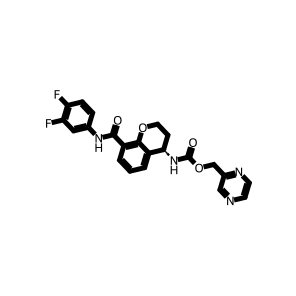 O=C(N[C@H]1CCOc2c(C(=O)Nc3ccc(F)c(F)c3)cccc21)OCc1cnccn1